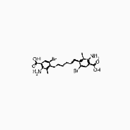 Cc1c(N)c(C(=O)O)cc(Br)c1CCCCCCc1c(Br)cc(C(=O)O)c(N)c1C